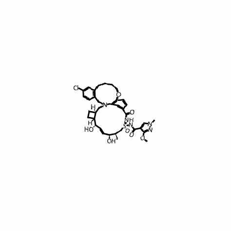 COc1nn(C)cc1C(=O)NS1(=O)=NC(=O)c2ccc3c(c2)N(Cc2ccc(Cl)cc2CCCCO3)C[C@@H]2CC[C@H]2[C@@H](O)/C=C/[C@H](O)[C@H](C)C1